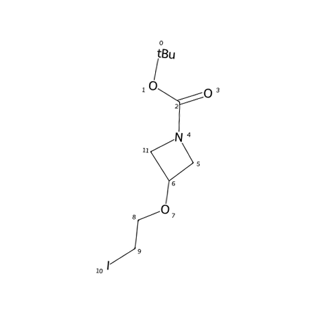 CC(C)(C)OC(=O)N1CC(OCCI)C1